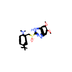 COc1cc2nc([S+]([O-])Cc3cc(C(C)(C)C)ccc3N(C)C)[nH]c2cc1OC